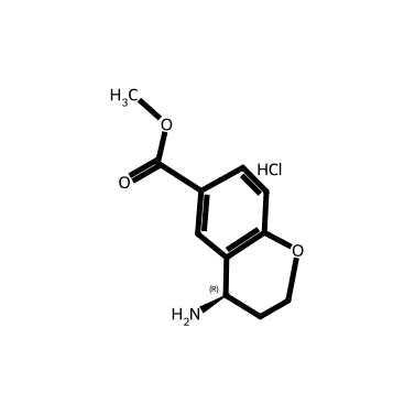 COC(=O)c1ccc2c(c1)[C@H](N)CCO2.Cl